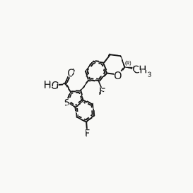 C[C@@H]1CCc2ccc(-c3c(C(=O)O)sc4cc(F)ccc34)c(F)c2O1